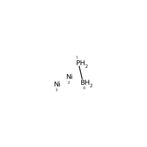 BP.[Ni].[Ni]